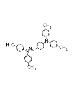 Cc1ccc(N(N=Cc2ccc(N(c3ccc(C)cc3)c3ccc(C)cc3)cc2)c2ccc(C)cc2)cc1